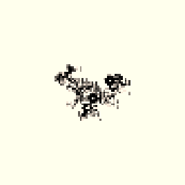 CC(C)OC(=O)c1cc(-n2c(=O)cc(C(F)(F)F)n(C)c2=O)ccc1Cl.CCNc1nc(Cl)nc(NC(C)(C)C)n1.CCc1cccc(C)c1N(C(=O)CCl)C(C)COC.C[S+](C)C.O=C(O)CNCP(=O)([O-])O